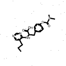 CCCc1cncnc1NC(Cc1ccc(OC(=O)N(C)C)cc1)C(=O)O